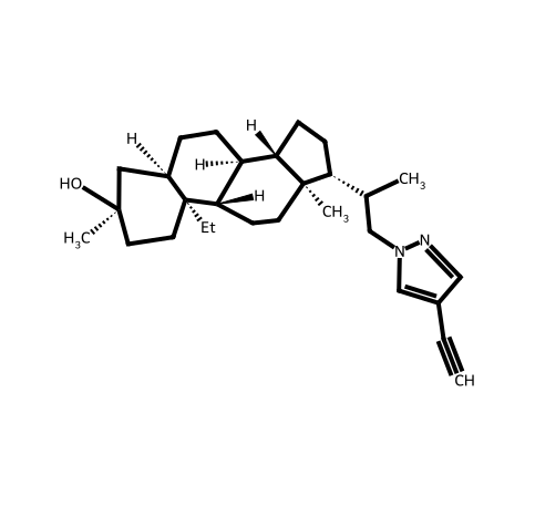 C#Cc1cnn(CC(C)[C@H]2CC[C@H]3[C@@H]4CC[C@@H]5C[C@](C)(O)CC[C@]5(CC)[C@H]4CC[C@]23C)c1